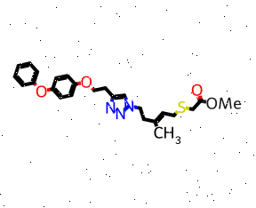 COC(=O)CSCC=C(C)CCn1cc(CCOc2ccc(Oc3ccccc3)cc2)nn1